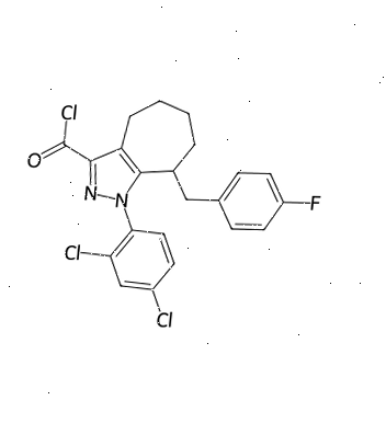 O=C(Cl)c1nn(-c2ccc(Cl)cc2Cl)c2c1CCCCC2Cc1ccc(F)cc1